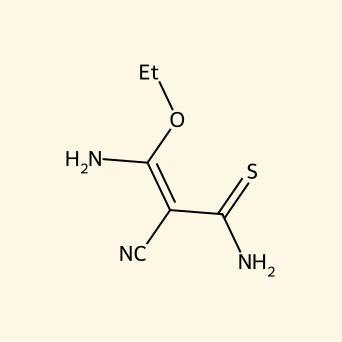 CCOC(N)=C(C#N)C(N)=S